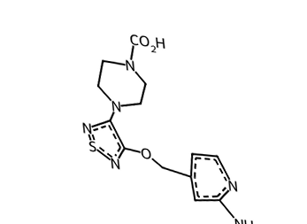 Nc1cc(COc2nsnc2N2CCN(C(=O)O)CC2)ccn1